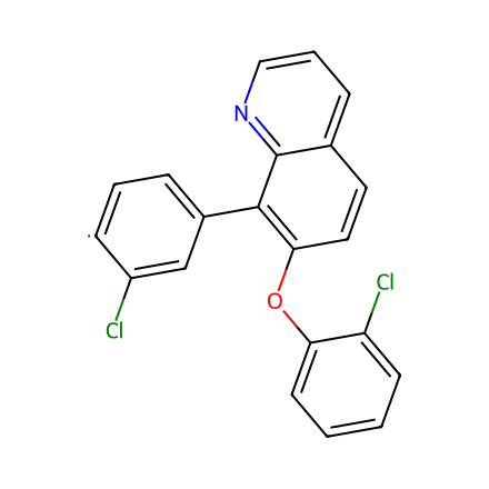 Clc1[c]ccc(-c2c(Oc3ccccc3Cl)ccc3cccnc23)c1